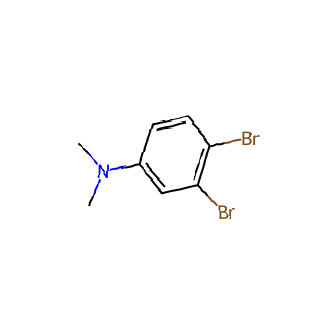 CN(C)c1ccc(Br)c(Br)c1